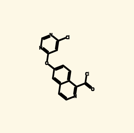 O=C(Cl)c1nccc2cc(Oc3cc(Cl)ncn3)ccc12